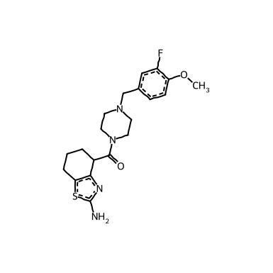 COc1ccc(CN2CCN(C(=O)C3CCCc4sc(N)nc43)CC2)cc1F